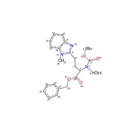 CCCCCCCCN(C(=O)OC(C)(C)C)C(CCc1nc2ccccc2n1C)C(=O)OCc1ccccc1